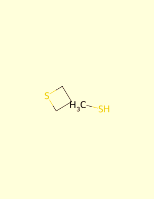 C1CSC1.CS